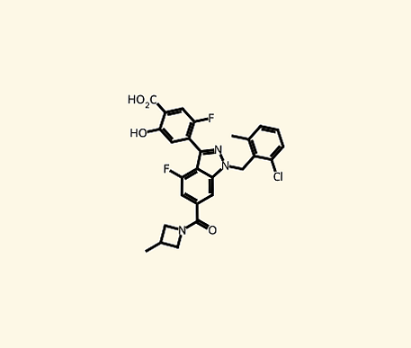 Cc1cccc(Cl)c1Cn1nc(-c2cc(O)c(C(=O)O)cc2F)c2c(F)cc(C(=O)N3CC(C)C3)cc21